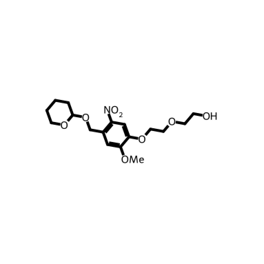 COc1cc(COC2CCCCO2)c([N+](=O)[O-])cc1OCCOCCO